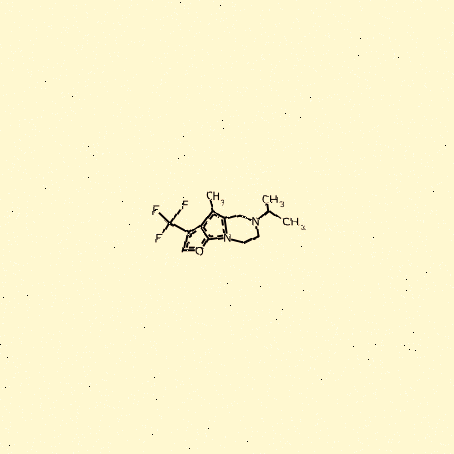 Cc1c2n(c3occ(C(F)(F)F)c13)CCN(C(C)C)C2